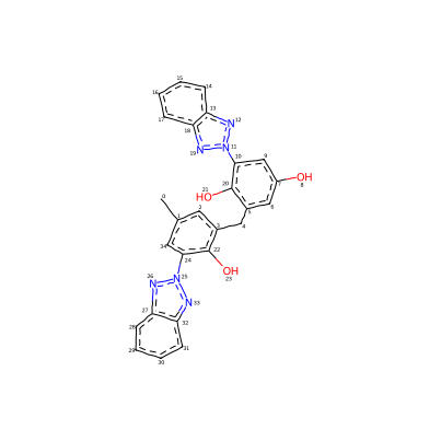 Cc1cc(Cc2cc(O)cc(-n3nc4ccccc4n3)c2O)c(O)c(-n2nc3ccccc3n2)c1